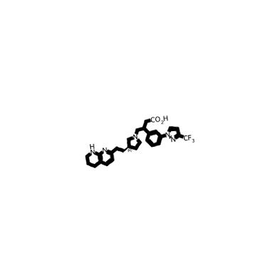 O=C(O)CC(CN1CC[C@@H](CCc2ccc3c(n2)NCCC3)C1)c1cccc(-n2ccc(C(F)(F)F)n2)c1